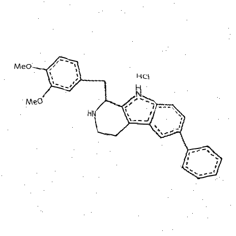 COc1ccc(CC2NCCc3c2[nH]c2ccc(-c4ccccc4)cc32)cc1OC.Cl